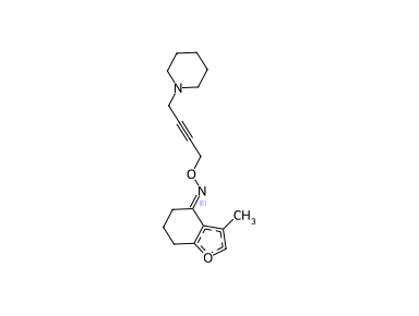 Cc1coc2c1/C(=N/OCC#CCN1CCCCC1)CCC2